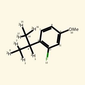 [2H]C([2H])([2H])C([2H])(c1ccc(OC)cc1F)C([2H])([2H])[2H]